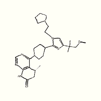 COCC(C)(C)c1cn(CCN2CCCC2)c(C2CCN(c3ncnc4c3[C@H](C)CC(=O)N4)CC2)n1